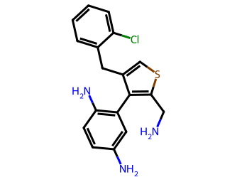 NCc1scc(Cc2ccccc2Cl)c1-c1cc(N)ccc1N